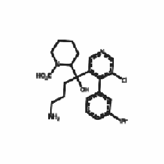 CC(C)c1cccc(-c2c(Cl)cncc2C(O)(CCCN)C2CCCCN2C(=O)O)c1